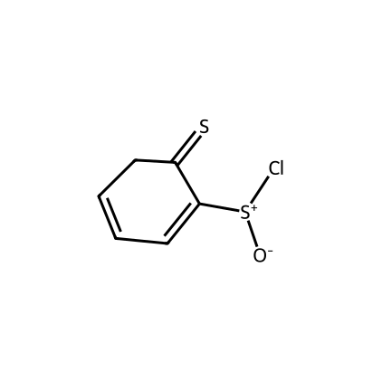 [O-][S+](Cl)C1=CC=CCC1=S